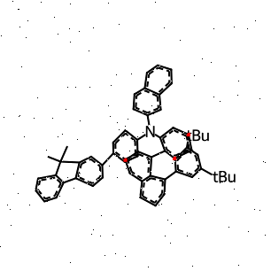 CC(C)(C)c1cc(-c2cccc3cccc(-c4ccccc4N(c4ccc(-c5ccc6c(c5)C(C)(C)c5ccccc5-6)cc4)c4ccc5ccccc5c4)c23)cc(C(C)(C)C)c1